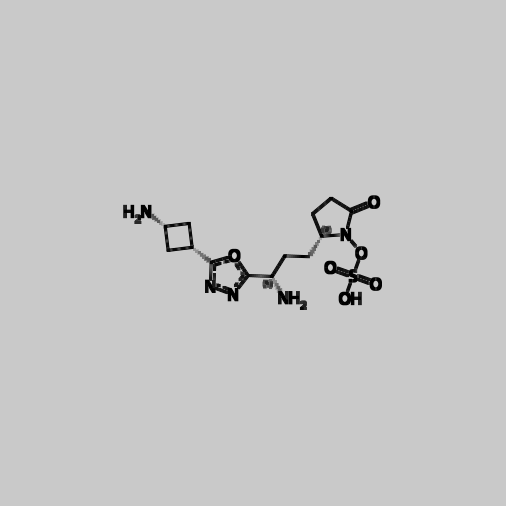 N[C@@H](CC[C@@H]1CCC(=O)N1OS(=O)(=O)O)c1nnc([C@H]2C[C@@H](N)C2)o1